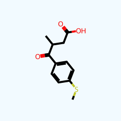 CSc1ccc(C(=O)C(C)CC(=O)O)cc1